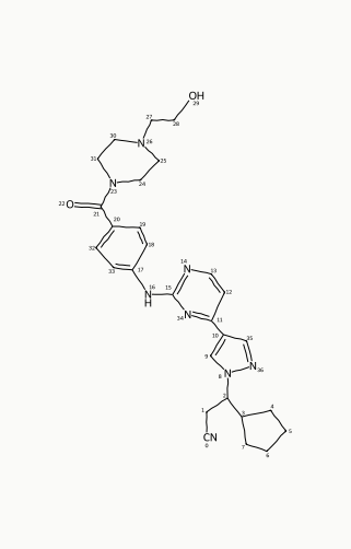 N#CCC(C1CCCC1)n1cc(-c2ccnc(Nc3ccc(C(=O)N4CCN(CCO)CC4)cc3)n2)cn1